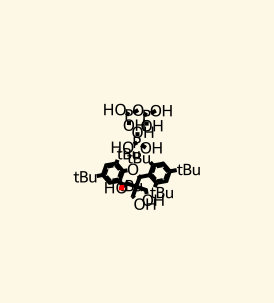 CC(C)(C)c1cc(C(C)(C)C)c(OC(c2c(C(C)(C)C)cc(C(C)(C)C)cc2C(C)(C)C)C(CO)(CO)CO)c(C(C)(C)C)c1.OP(O)O.OP(O)OP(O)O